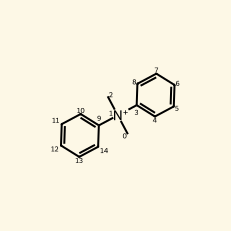 C[N+](C)(c1ccccc1)c1ccccc1